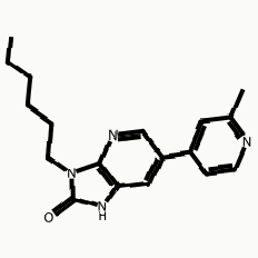 CCCCCCn1c(=O)[nH]c2cc(-c3ccnc(C)c3)cnc21